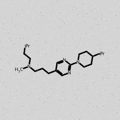 CC(C)CCN(C)CCCc1cnc(N2CCC(C(C)C)CC2)nc1